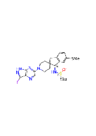 CSc1ccc2c(c1)[C@@H](N[S@+]([O-])C(C)(C)C)C1(CCN(c3cnc4c(I)n[nH]c4n3)CC1)C2